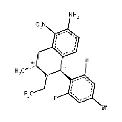 C[C@@H]1Cc2c(ccc(N)c2[N+](=O)[O-])[C@@H](c2c(F)cc(Br)cc2F)N1CC(F)(F)F